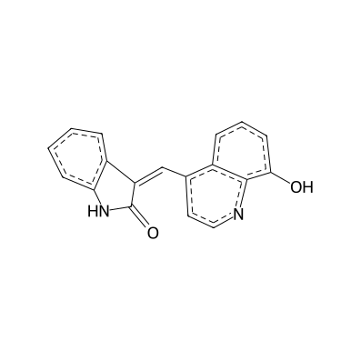 O=C1Nc2ccccc2C1=Cc1ccnc2c(O)cccc12